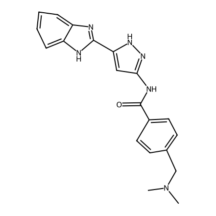 CN(C)Cc1ccc(C(=O)Nc2cc(-c3nc4ccccc4[nH]3)[nH]n2)cc1